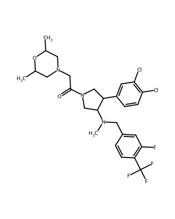 CC1CN(CC(=O)N2CC(c3ccc(Cl)c(Cl)c3)C(N(C)Cc3ccc(C(F)(F)F)c(F)c3)C2)CC(C)O1